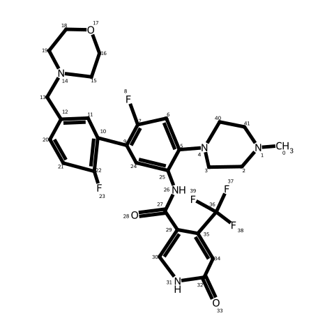 CN1CCN(c2cc(F)c(-c3cc(CN4CCOCC4)ccc3F)cc2NC(=O)c2c[nH]c(=O)cc2C(F)(F)F)CC1